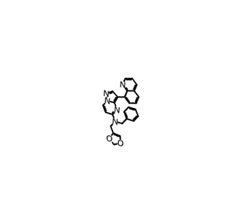 C1=C(CN(Cc2ccccc2)c2ccn3ncc(-c4cccc5cccnc45)c3n2)OCO1